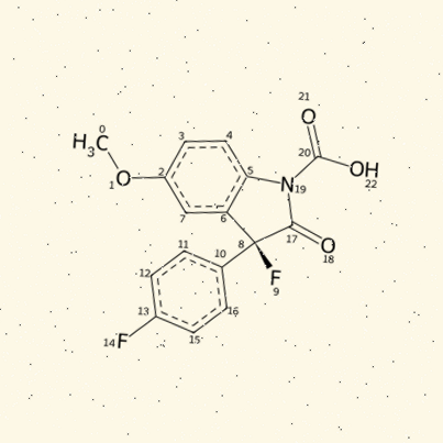 COc1ccc2c(c1)[C@@](F)(c1ccc(F)cc1)C(=O)N2C(=O)O